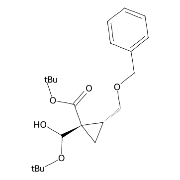 CC(C)(C)OC(=O)[C@@]1(C(O)OC(C)(C)C)C[C@H]1COCc1ccccc1